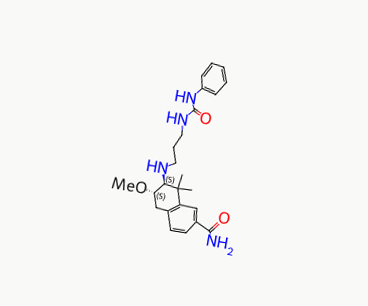 CO[C@H]1Cc2ccc(C(N)=O)cc2C(C)(C)[C@@H]1NCCCNC(=O)Nc1ccccc1